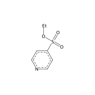 CCOS(=O)(=O)c1ccncc1